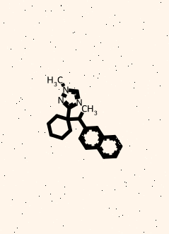 CC(c1ccc2ccccc2c1)C1(c2ncn(C)n2)CCCCC1